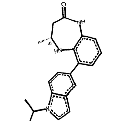 CC(C)n1ccc2cc(-c3cccc4c3N[C@H](C)CC(=O)N4)ccc21